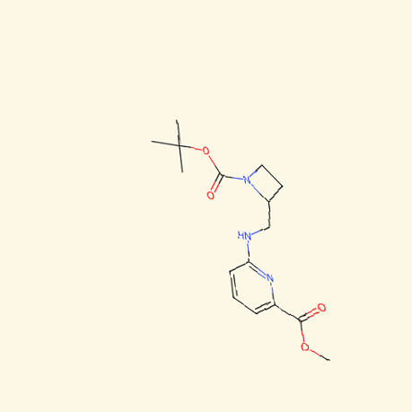 COC(=O)c1cccc(NCC2CCN2C(=O)OC(C)(C)C)n1